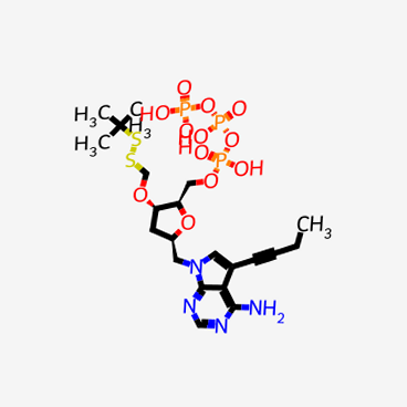 CCC#Cc1cn(C[C@H]2C[C@@H](OCSSC(C)(C)C)[C@@H](COP(=O)(O)OP(=O)(O)OP(=O)(O)O)O2)c2ncnc(N)c12